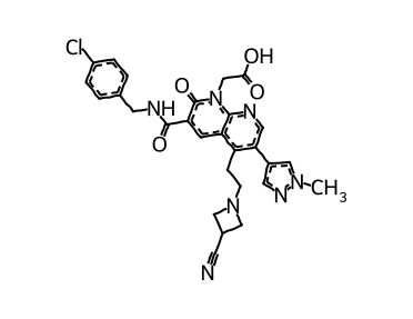 Cn1cc(-c2cnc3c(cc(C(=O)NCc4ccc(Cl)cc4)c(=O)n3CC(=O)O)c2CCN2CC(C#N)C2)cn1